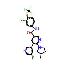 C[C@@H]1CCN(c2ncc(C(=O)Nc3ccc(SC(F)(F)F)c(F)c3)cc2-c2cncc(F)c2)C1